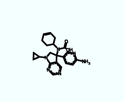 Nc1ccc(C2(N(C(=O)O)C3CC=CCC3)CN(C3CC3)c3ncncc32)cn1